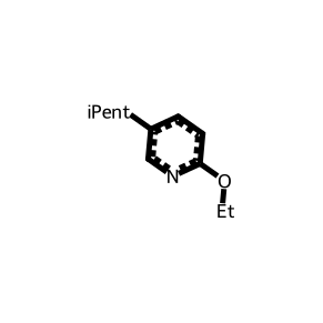 CCCC(C)c1ccc(OCC)nc1